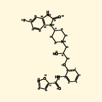 O=C(Nc1ccccc1OCC(O)CN1CCC(n2c(=O)[nH]c3cc(F)ccc32)CC1)c1ccno1